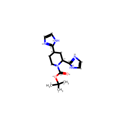 CC(C)(C)OC(=O)N1CCC(c2ncc[nH]2)CC1c1ncc[nH]1